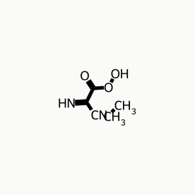 CC.N#CC(=N)C(=O)OO